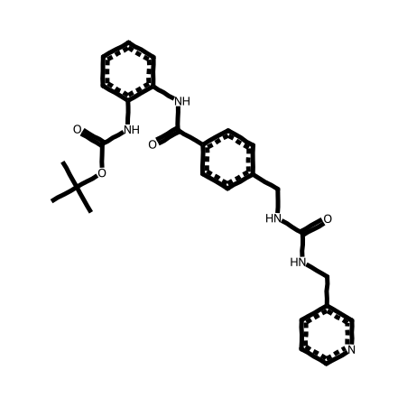 CC(C)(C)OC(=O)Nc1ccccc1NC(=O)c1ccc(CNC(=O)NCc2cccnc2)cc1